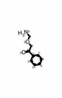 NCOCC(=O)c1ccccc1